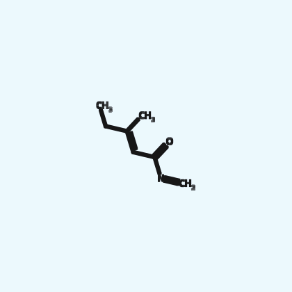 C=NC(=O)/C=C(\C)CC